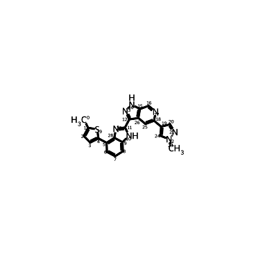 Cc1ccc(-c2cccc3[nH]c(-c4n[nH]c5cnc(-c6cnn(C)c6)cc45)nc23)s1